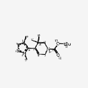 Cc1cnn(C)c1C1=CCN(C(=O)OC(C)(C)C)CC1(C)C